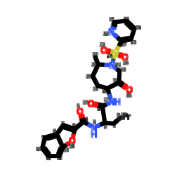 CC(C)CC(NC(=O)c1cc2ccccc2o1)C(=O)NC1CCC(C)N(S(=O)(=O)c2ccccn2)CC1=O